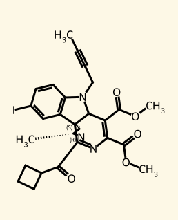 CC#CCN1c2ccc(I)cc2[C@]23C[C@@H](C)N(C(=O)C4CCC4)C2=NC(C(=O)OC)=C(C(=O)OC)C13